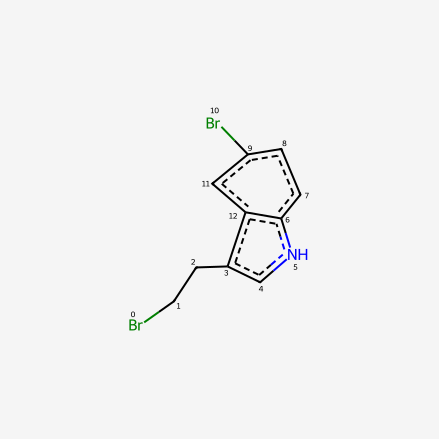 BrCCc1c[nH]c2ccc(Br)cc12